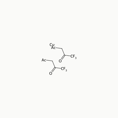 CC(=O)CC(=O)C(F)(F)F.CC(=O)CC(=O)C(F)(F)F.[Cu]